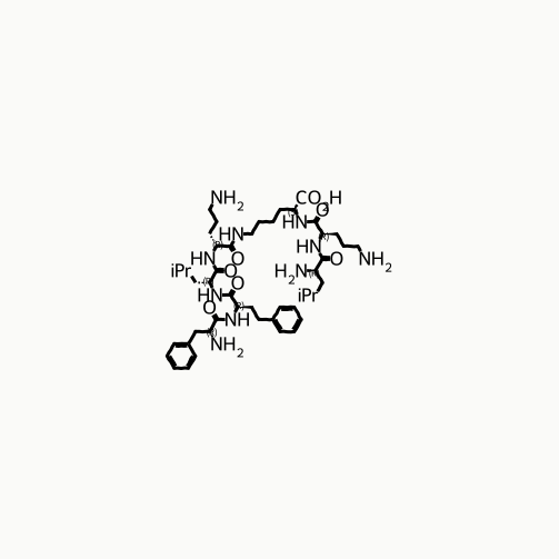 CC(C)C[C@@H](N)C(=O)N[C@H](CCCN)C(=O)N[C@@H](CCCCNC(=O)[C@@H](CCCN)NC(=O)[C@@H](CC(C)C)NC(=O)[C@@H](CCc1ccccc1)NC(=O)[C@H](N)Cc1ccccc1)C(=O)O